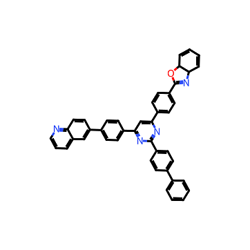 C1=CC2N=C(c3ccc(-c4cc(-c5ccc(-c6ccc7ncccc7c6)cc5)nc(-c5ccc(-c6ccccc6)cc5)n4)cc3)OC2C=C1